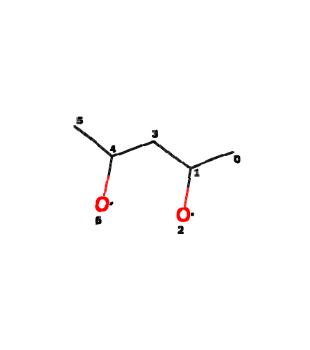 CC([O])CC(C)[O]